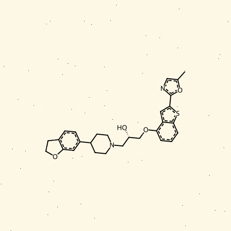 Cc1cnc(-c2cc3c(OC[C@@H](O)CN4CCC(c5ccc6c(c5)OCC6)CC4)cccc3s2)o1